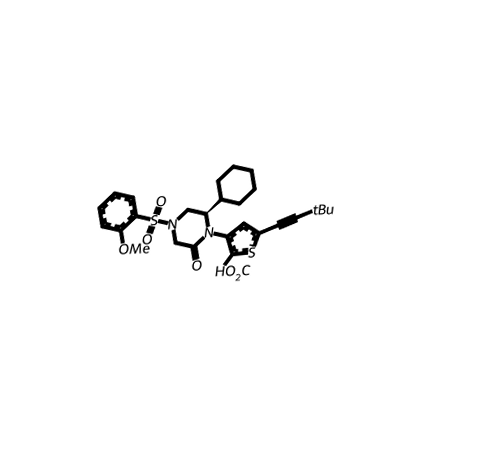 COc1ccccc1S(=O)(=O)N1CC(=O)N(c2cc(C#CC(C)(C)C)sc2C(=O)O)[C@H](C2CCCCC2)C1